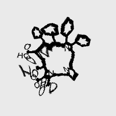 O=C(O)C1=C2N=C(C(c3ccccc3)=C3N=C(C=C4C=CC(=N4)C=C4N=C1C(C(=O)O)=C4C(=O)O)C(c1ccccc1)=C3c1ccccc1)C(c1ccccc1)=C2C(=O)O